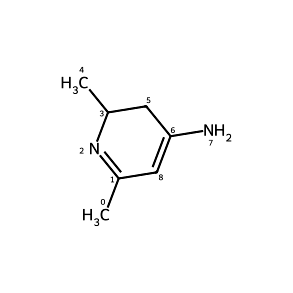 CC1=NC(C)CC(N)=C1